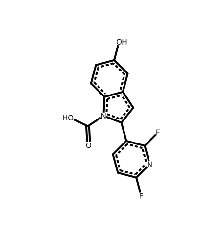 O=C(O)n1c(-c2ccc(F)nc2F)cc2cc(O)ccc21